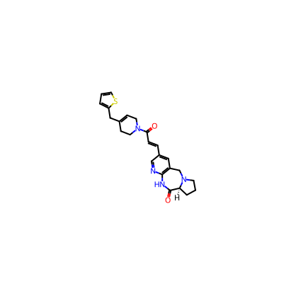 O=C1Nc2ncc(/C=C/C(=O)N3CC=C(Cc4cccs4)CC3)cc2CN2CCC[C@@H]12